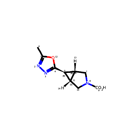 Cc1nnc([C@H]2[C@@H]3CN(C(=O)O)C[C@@H]32)o1